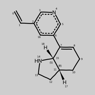 C=Cc1cncc(C2=CCC[C@@H]3CCN[C@H]23)c1